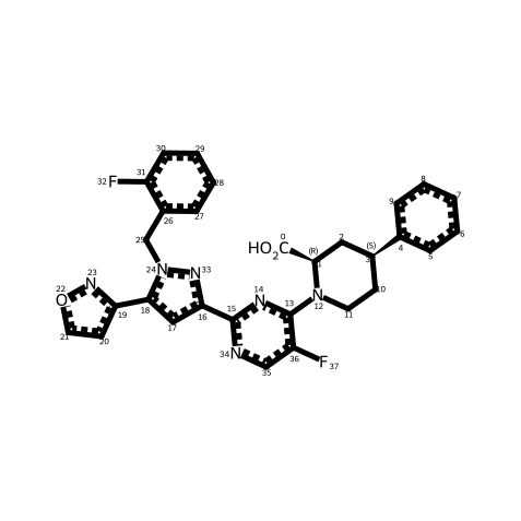 O=C(O)[C@H]1C[C@@H](c2ccccc2)CCN1c1nc(-c2cc(-c3ccon3)n(Cc3ccccc3F)n2)ncc1F